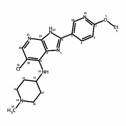 CCOc1ccc(-c2nc3c(NC4CCN(C)CC4)c(Cl)cnc3[nH]2)cn1